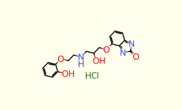 Cl.O=C1N=c2cccc(OCC(O)CNCCOc3ccccc3O)c2=N1